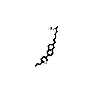 C=CCc1ccc(-c2ccc3cc(/C=C/CCCC(C)O)ccc3c2)cn1